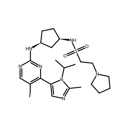 Cc1ncc(-c2nc(N[C@H]3CC[C@@H](NS(=O)(=O)CCN4CCCC4)C3)ncc2F)n1C(C)C